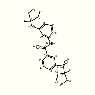 CCC(C)(CC)Nc1cccc(NC(=O)c2cccc(C(=O)C(C)(CC)CC)c2)c1